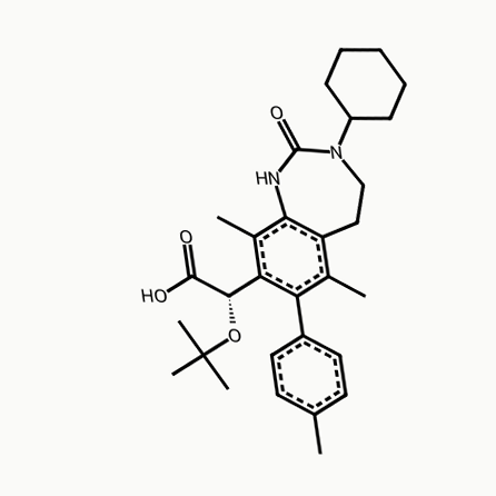 Cc1ccc(-c2c(C)c3c(c(C)c2[C@H](OC(C)(C)C)C(=O)O)NC(=O)N(C2CCCCC2)CC3)cc1